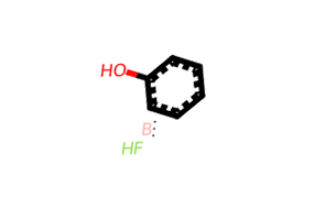 F.Oc1ccccc1.[B]